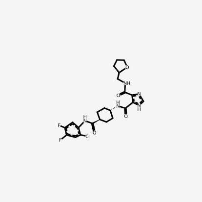 O=C(NCC1CCCO1)c1nc[nH]c1C(=O)N[C@H]1CC[C@H](C(=O)Nc2cc(F)c(F)cc2Cl)CC1